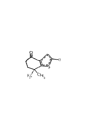 CC1(C)CCC(=O)c2cc(Cl)sc21